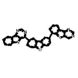 c1ccc2c(c1)sc1c(-c3ccc4oc5ccc(-c6cccc7c6sc6cncnc67)cc5c4c3)ncnc12